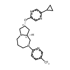 FC(F)(F)c1ccc(N2CCCN3C[C@H](Oc4cnc(C5CC5)cn4)C[C@H]3C2)nc1